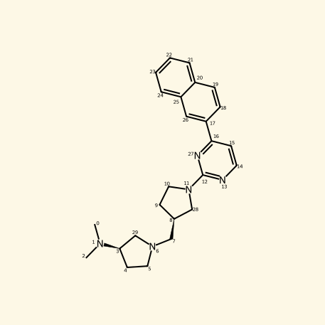 CN(C)[C@@H]1CCN(C[C@H]2CCN(c3nccc(-c4ccc5ccccc5c4)n3)C2)C1